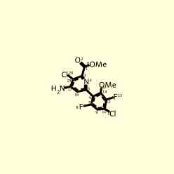 COC(=O)c1nc(-c2c(F)cc(Cl)c(F)c2OC)cc(N)c1Cl